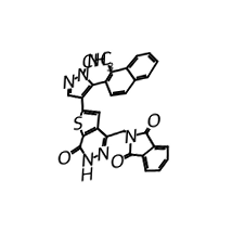 Cn1ncc(-c2cc3c(CN4C(=O)c5ccccc5C4=O)n[nH]c(=O)c3s2)c1-c1ccc2ccccc2c1C#N